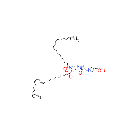 CCCCC/C=C\C/C=C\CCCCCCCCOC(=O)C1CC(NC(=O)CCN2CC(CO)C2)CN1C(=O)CCCCCCC/C=C\C/C=C\CCCCC